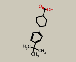 CC(C)(C)c1ccc([C@H]2CC[C@H](C(=O)O)CC2)cc1